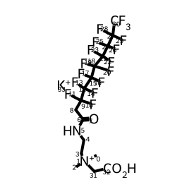 C[N+](C)(CCNC(=O)CC(F)(F)C(F)(F)C(F)(F)C(F)(F)C(F)(F)C(F)(F)C(F)(F)C(F)(F)F)CC(=O)O.[K+]